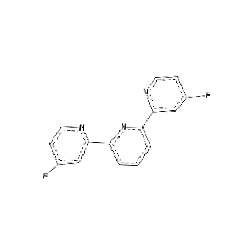 Fc1ccnc(-c2cccc(-c3cc(F)ccn3)n2)c1